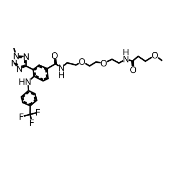 COCCC(=O)NCCOCCOCCNC(=O)c1ccc(Nc2ccc(C(F)(F)F)cc2)c(-c2nnn(C)n2)c1